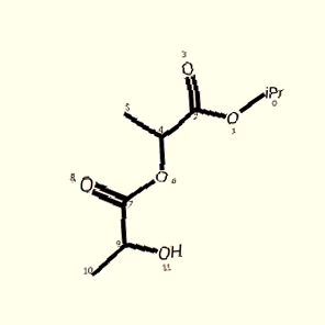 CC(C)OC(=O)C(C)OC(=O)C(C)O